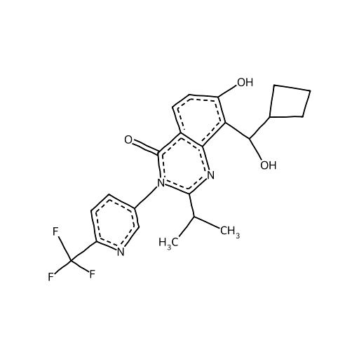 CC(C)c1nc2c(C(O)C3CCC3)c(O)ccc2c(=O)n1-c1ccc(C(F)(F)F)nc1